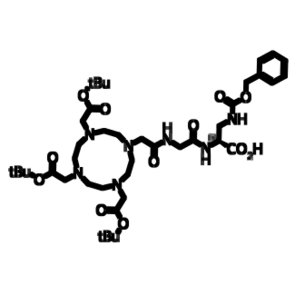 CC(C)(C)OC(=O)CN1CCN(CC(=O)NCC(=O)N[C@@H](CNC(=O)OCc2ccccc2)C(=O)O)CCN(CC(=O)OC(C)(C)C)CCN(CC(=O)OC(C)(C)C)CC1